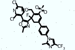 Cc1nc(C2(F)CC(c3ccc(-n4cc(C(F)(F)F)nc4C)cc3)=CC(S(C)(=O)=O)=C2CO)c(-c2ccc(Cl)nc2Cl)o1